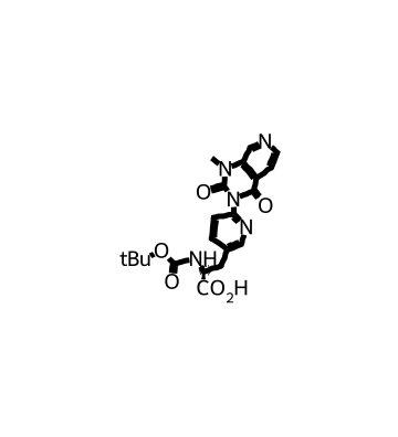 Cn1c(=O)n(-c2ccc(C[C@H](NC(=O)OC(C)(C)C)C(=O)O)cn2)c(=O)c2ccncc21